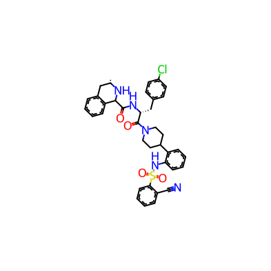 N#Cc1ccccc1S(=O)(=O)Nc1ccccc1C1CCN(C(=O)[C@@H](Cc2ccc(Cl)cc2)NC(=O)C2N[CH]Cc3ccccc32)CC1